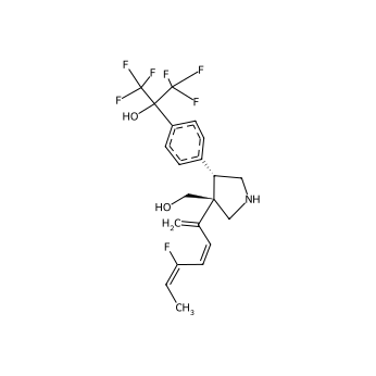 C=C(/C=C\C(F)=C/C)[C@@]1(CO)CNC[C@H]1c1ccc(C(O)(C(F)(F)F)C(F)(F)F)cc1